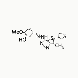 COc1ccc(C=NNc2ncnc3c(C)c(-c4ccsc4)sc23)cc1O